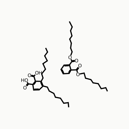 CCCCCCCCOC(=O)c1ccccc1C(=O)OCCCCCCCC.CCCCCCCCc1ccc(C(=O)O)c(C(=O)O)c1CCCCCCCC